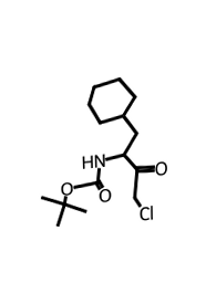 CC(C)(C)OC(=O)NC(CC1CCCCC1)C(=O)CCl